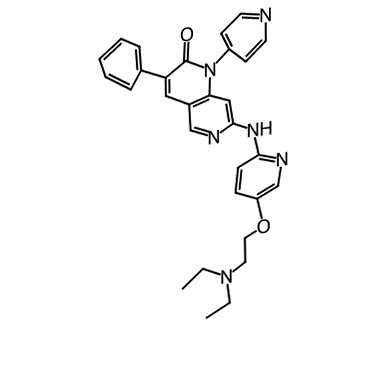 CCN(CC)CCOc1ccc(Nc2cc3c(cn2)cc(-c2ccccc2)c(=O)n3-c2ccncc2)nc1